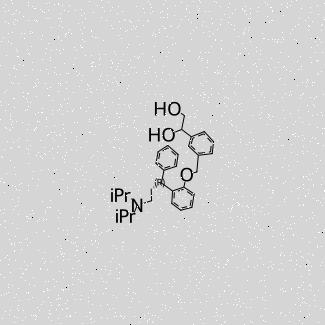 CC(C)N(CC[C@H](c1ccccc1)c1ccccc1OCc1cccc(C(O)CO)c1)C(C)C